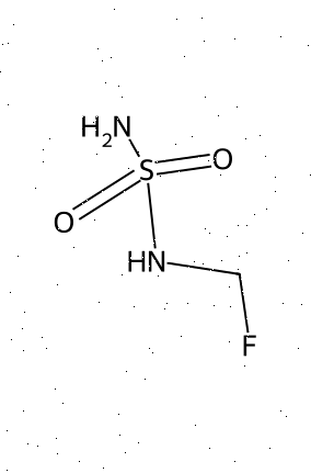 NS(=O)(=O)NCF